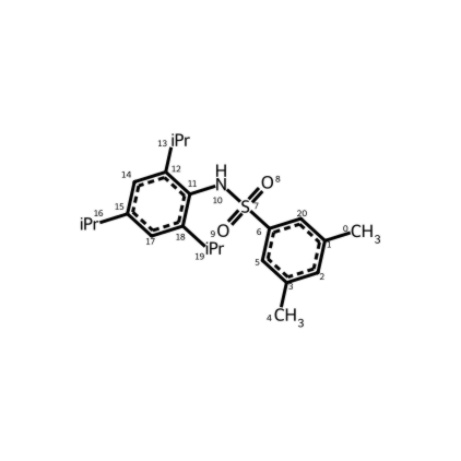 Cc1cc(C)cc(S(=O)(=O)Nc2c(C(C)C)cc(C(C)C)cc2C(C)C)c1